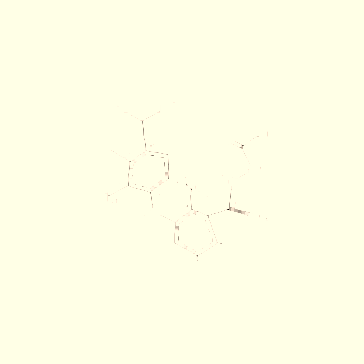 CCC(=O)OOC(=O)c1cccc(Oc2ccc(C(F)F)c(F)c2Cl)c1[N+](=O)[O-]